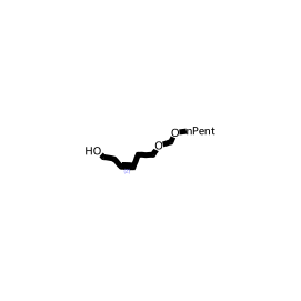 CCCCCOCOCC/C=C\CCO